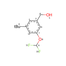 CC(C)(C)c1cc([CH]O)cc(OC(F)F)c1